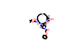 CC(C)(C)OC(=O)N[C@@H]1CCCCC/C=C\[C@@H]2C[C@@]2(C(=O)O)NC(=O)[C@@H]2[C@H]3CN(C(=O)COc4ccccc4)C[C@H]3CN2C1=O